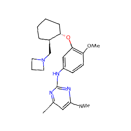 CNc1cc(C)nc(Nc2ccc(OC)c(O[C@H]3CCCC[C@@H]3CN3CCC3)c2)n1